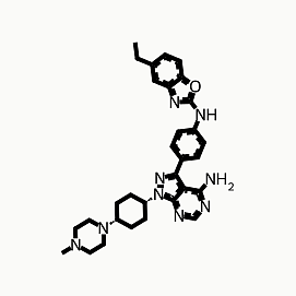 CCc1ccc2oc(Nc3ccc(-c4nn([C@H]5CC[C@@H](N6CCN(C)CC6)CC5)c5ncnc(N)c45)cc3)nc2c1